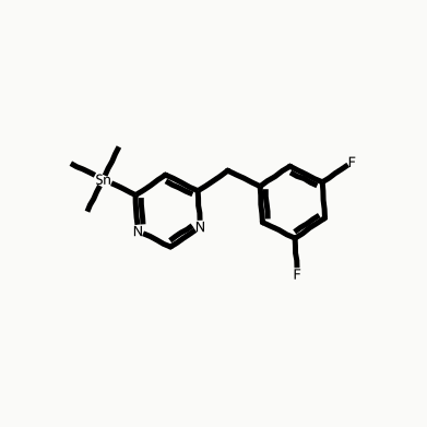 [CH3][Sn]([CH3])([CH3])[c]1cc(Cc2cc(F)cc(F)c2)ncn1